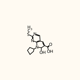 CSc1ncc2c(n1)N(C1CCCC1)C(O)C(C(=O)O)=C2